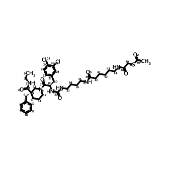 CCNC(=O)[C@]1(Cc2ccccc2)CCCN(C(=O)[C@@H](Cc2ccc(Cl)c(Cl)c2)NC(=O)NCCCCNC(=O)CCCCCNC(=O)CSC(C)=O)C1